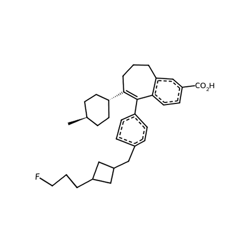 C[C@H]1CC[C@H](C2=C(c3ccc(CC4CC(CCCF)C4)cc3)c3ccc(C(=O)O)cc3CCC2)CC1